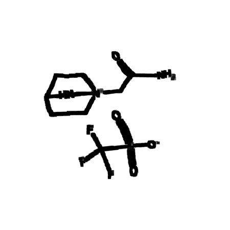 NC(=O)C[N+]12CCC(CC1)CN2.O=S(=O)([O-])C(F)(F)F